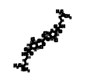 CN(C)CCCNS(=O)(=O)c1cc(Cl)c(OC(=O)C(=O)Oc2c(Cl)cc(S(=O)(=O)NCCCN(C)C)cc2Cl)c(Cl)c1